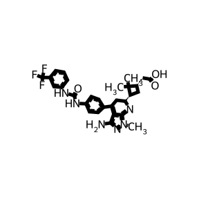 Cn1nc(N)c2c1=NC([C@H]1C[C@@H](CC(=O)O)C1(C)C)CC=2c1ccc(NC(=O)Nc2cccc(C(F)(F)F)c2)cc1